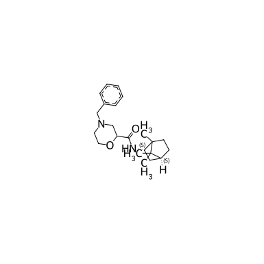 CC1(C)[C@H]2CCC1(C)[C@@H](NC(=O)C1CN(Cc3ccccc3)CCO1)C2